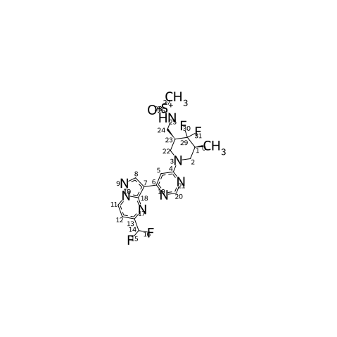 C[C@H]1CN(c2cc(-c3cnn4ccc(C(F)F)nc34)ncn2)C[C@@H](CN[S+](C)[O-])C1(F)F